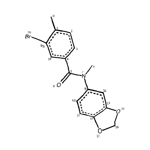 Cc1ccc(C(=O)N(C)c2ccc3c(c2)OCO3)cc1Br